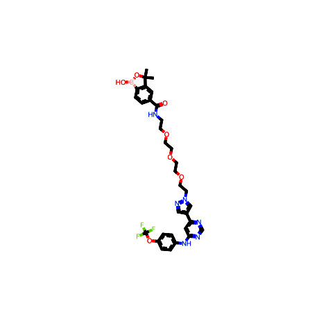 CC1(C)OB(O)c2ccc(C(=O)NCCOCCOCCOCCn3cc(-c4cc(Nc5ccc(OC(F)(F)F)cc5)ncn4)cn3)cc21